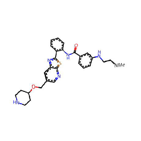 CNCCNc1cccc(C(=O)Nc2ccccc2-c2nc3cc(COC4CCNCC4)cnc3s2)c1